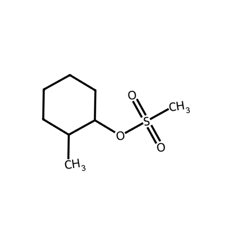 CC1CCCCC1OS(C)(=O)=O